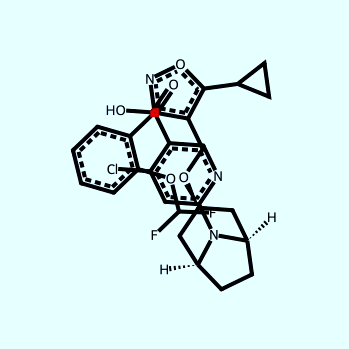 O=C(O)c1cnc(N2[C@@H]3CC[C@H]2C[C@@H](OCc2c(-c4ccccc4OC(F)F)noc2C2CC2)C3)cc1Cl